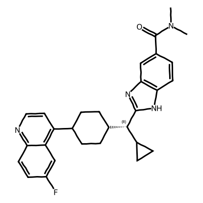 CN(C)C(=O)c1ccc2[nH]c([C@@H](C3CCC(c4ccnc5ccc(F)cc45)CC3)C3CC3)nc2c1